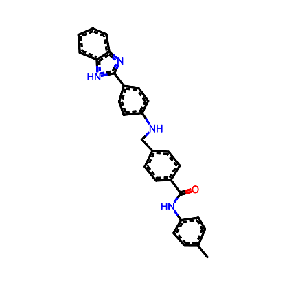 Cc1ccc(NC(=O)c2ccc(CNc3ccc(-c4nc5ccccc5[nH]4)cc3)cc2)cc1